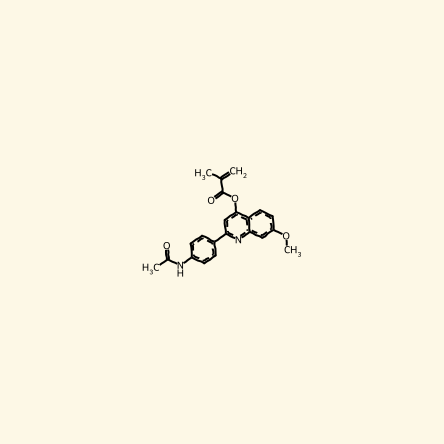 C=C(C)C(=O)Oc1cc(-c2ccc(NC(C)=O)cc2)nc2cc(OC)ccc12